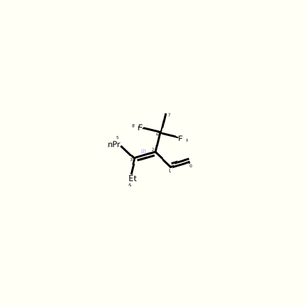 C=C/C(=C(\CC)CCC)C(C)(F)F